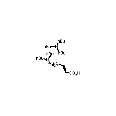 CCCCN(CCCC)CCCC.CCCCN(CCCC)CCCC.O=C(O)C=CC(=O)O